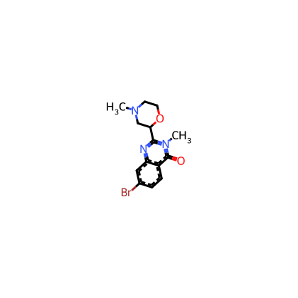 CN1CCOC(c2nc3cc(Br)ccc3c(=O)n2C)C1